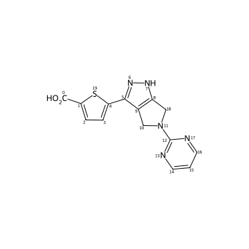 O=C(O)c1ccc(-c2n[nH]c3c2CN(c2ncccn2)C3)s1